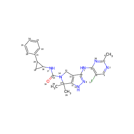 Cc1ncc(F)c(Nc2n[nH]c3c2CN(C(=O)NC2CC2c2ccccc2)C3(C)C)n1